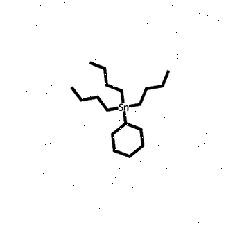 CCC[CH2][Sn]([CH2]CCC)([CH2]CCC)[CH]1CCCCC1